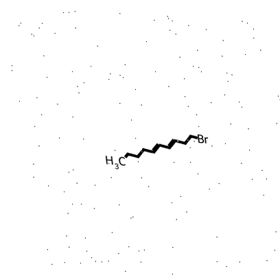 CCCCC=CC=CCCBr